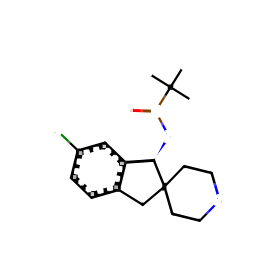 CC(C)(C)[S+]([O-])N[C@@H]1c2cc(Br)ccc2CC12CCNCC2